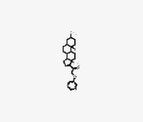 CC1CCC2(F)C(CCC3C4CCC(C(=O)COc5cncnc5)C4(C)CCC32)C1